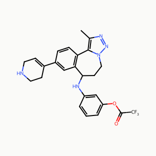 Cc1nnn2c1-c1ccc(C3=CCNCC3)cc1C(Nc1cccc(OC(=O)C(F)(F)F)c1)CC2